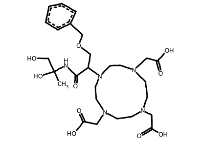 CC(O)(CO)NC(=O)C(COCc1ccccc1)N1CCN(CC(=O)O)CCN(CC(=O)O)CCN(CC(=O)O)CC1